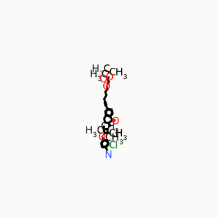 CC(C)(C)OC(=O)COCCCCC#Cc1ccc2c(c1)CCC(C[C@H]1C(C)(C)[C@H](Oc3ccc(C#N)c(Cl)c3)C1(C)C)C2=O